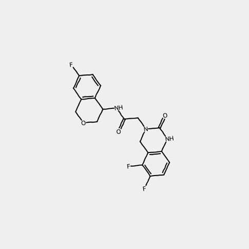 O=C(CN1Cc2c(ccc(F)c2F)NC1=O)NC1COCc2cc(F)ccc21